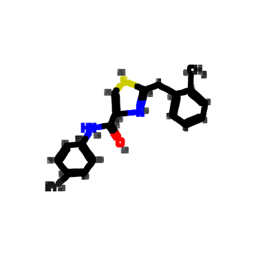 Cc1ccccc1Cc1nc(C(=O)Nc2ccc(C(C)C)cc2)cs1